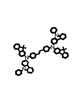 CC1(C)c2ccccc2-c2ccc(N(C3=CC=C4C(C3)C3C=CC=CC3N4c3ccccc3)c3ccc(/C=C/c4ccc(N(c5ccc6c(c5)C(C)(C)c5ccccc5-6)c5ccc6c(c5)c5ccccc5n6-c5ccccc5)cc4)cc3)cc21